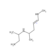 CN/C=C/CC(C)NC(C)CN